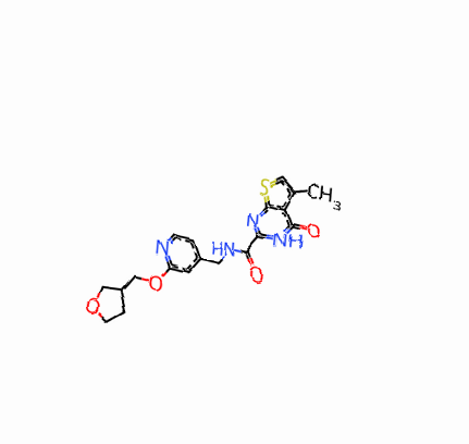 Cc1csc2nc(C(=O)NCc3ccnc(OCC4CCOC4)c3)[nH]c(=O)c12